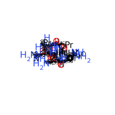 CC(=O)N[C@H](CC(C)C)C(=O)NC(CC(C)C)C(=O)NCC(=O)N[C@@H](CC(C)C)C(=O)N[C@@H](CCCNC(=N)N)C(=O)N[C@H](C(=O)N[C@@H](CCCCN)C(=O)NCc1ccc(C(=N)N)cc1)C(C)C